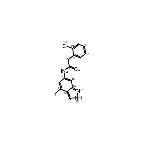 Cc1cc(NC(=O)Cc2ccccc2Cl)cc2n[nH]cc12